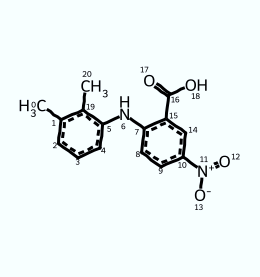 Cc1cccc(Nc2ccc([N+](=O)[O-])cc2C(=O)O)c1C